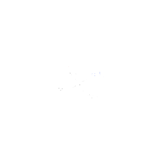 CO[Si](C)(OC)OC.N.O